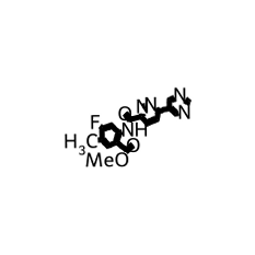 COC(=O)c1cc(C)c(F)cc1NC(=O)c1ccc(-c2cncnc2)nn1